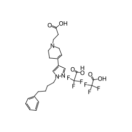 O=C(O)C(F)(F)F.O=C(O)C(F)(F)F.O=C(O)CCN1CC=C(c2cnn(CCCCc3ccccc3)c2)CC1